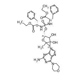 CCOC(=O)[C@H](Cc1ccccc1)NP(=O)(N[C@@H](Cc1ccccc1)C(=O)OCC)OC[C@H]1OC2(C)[C@@H](n3cnc4c(N5CCOCC5)nc(N)nc43)C2(O)C1O